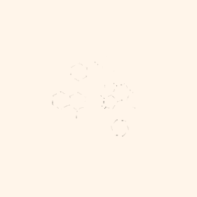 CC(c1oc(=O)c2ccccc2c1-c1cccc(N(C)C)c1)n1nc(-c2cc(O)cc(F)c2)c2c(N)ncnc21